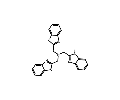 c1ccc2[nH]c(CN(Cc3nc4ccccc4s3)Cc3nc4ccccc4s3)nc2c1